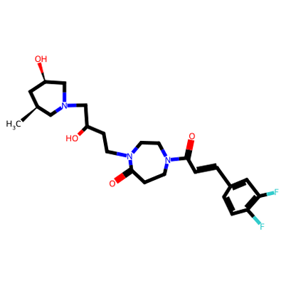 C[C@H]1C[C@@H](O)CN(CC(O)CCN2CCN(C(=O)/C=C/c3ccc(F)c(F)c3)CCC2=O)C1